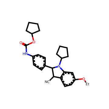 CCOc1ccc2c(c1)N(C1CCCC1)C(c1ccc(NC(=O)OC3CCCC3)cc1)C2C#N